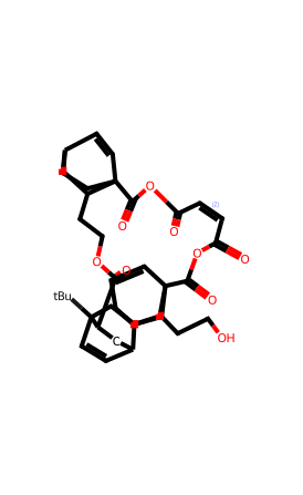 CC(C)(C)C12C=CC(CC1)CC2C(=O)OCCC1CC2C=CC1(C(=O)OC(=O)/C=C\C(=O)OC(=O)C13C=CC(CC1)CC3CCO)CC2